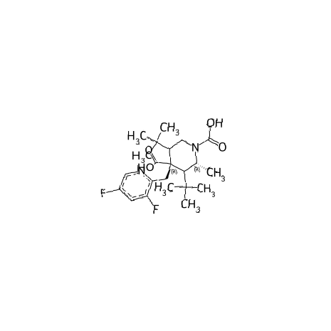 C[C@@H]1C(C(C)(C)C)[C@](Cc2ncc(F)cc2F)(C(=O)O)C(C(C)(C)C)CN1C(=O)O